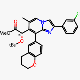 COC(=O)[C@@H](OC(C)(C)C)c1c(C)cn2cc(-c3cccc(Cl)c3)nc2c1-c1ccc2c(c1)CCCO2